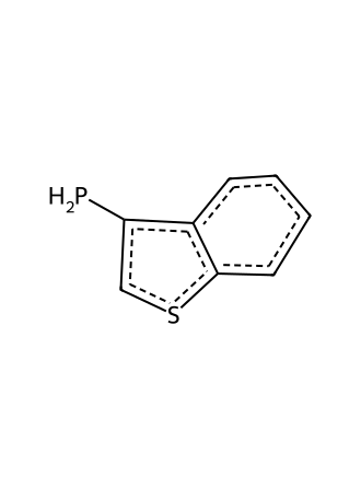 Pc1csc2ccccc12